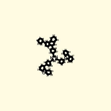 c1ccc(-c2ccc3c(-c4ccc(-c5nc(-c6ccc(-c7cccc8oc9ccccc9c78)cc6)nc(-c6cccc(-n7c8ccccc8c8ccccc87)c6)n5)cc4)cc4ccccc4c3c2)cc1